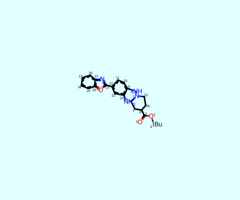 CC(C)(C)OC(=O)C1CCN(Nc2ccc(-c3nc4ccccc4o3)cc2N)CC1